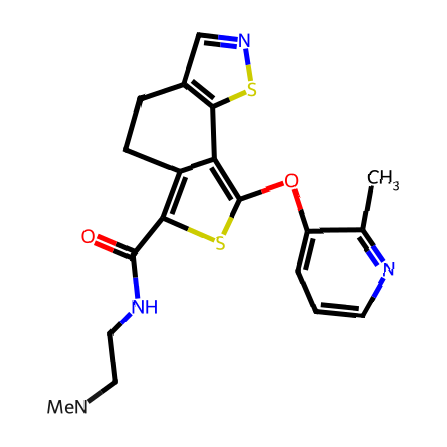 CNCCNC(=O)c1sc(Oc2cccnc2C)c2c1CCc1cnsc1-2